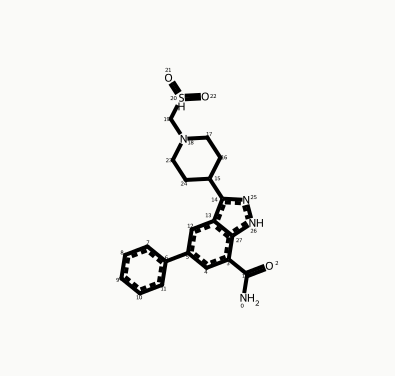 NC(=O)c1cc(-c2ccccc2)cc2c(C3CCN(C[SH](=O)=O)CC3)n[nH]c12